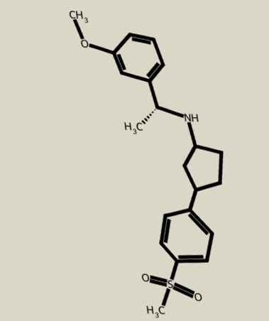 COc1cccc([C@@H](C)NC2CCC(c3ccc(S(C)(=O)=O)cc3)C2)c1